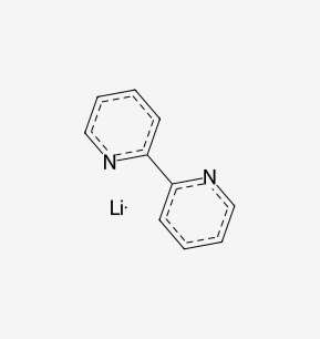 [Li].c1ccc(-c2ccccn2)nc1